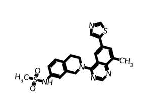 Cc1cc(-c2cncs2)cc2c(N3CCc4ccc(NS(C)(=O)=O)cc4C3)ncnc12